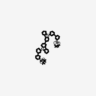 CC1(C)COB(c2cccc(-c3cccc(-n4c5ccccc5c5cc(-c6ccc7c(c6)c6ccccc6n7-c6cccc(-c7cccc(B8OC(C)(C)C(C)(C)O8)c7)c6)ccc54)c3)c2)OC1(C)C